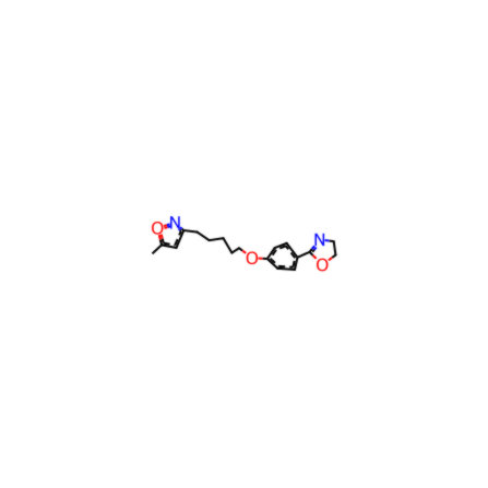 Cc1cc(CCCCCOc2ccc(C3=NCCO3)cc2)no1